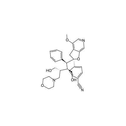 COc1cncc2c1C[C@](c1ccc(C#N)cc1)([C@H](c1ccccc1)[C@@H](CO)[C@@H](CO)CN1CCOCC1)O2